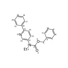 CCN(C(=O)OCc1ccccc1)c1ccc(-c2ccccc2)nc1